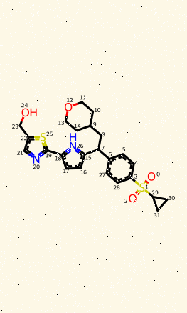 O=S(=O)(c1ccc(C(CC2CCOCC2)c2ccc(-c3ncc(CO)s3)[nH]2)cc1)C1CC1